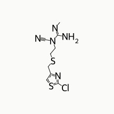 C/N=C(\N)N(C#N)CCSCc1csc(Cl)n1